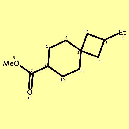 CCC1CC2(CCC(C(=O)OC)CC2)C1